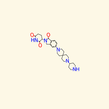 O=C1CCC(N2Cc3cc(N4CCC5(CC4)CCN(C4CCNCC4)CC5)ccc3C2=O)C(=O)N1